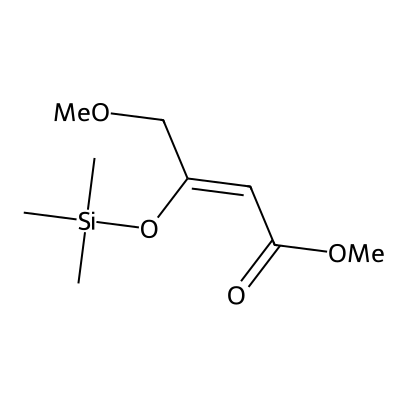 COCC(=CC(=O)OC)O[Si](C)(C)C